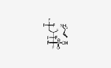 C=CCN.O=S(=O)(O)C(F)(F)C(F)(F)C(F)CC(F)(F)F